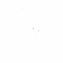 Cc1ccc(S(=O)(=O)N2CCC(F)(F)/C(=C\C(=O)O)c3ccccc32)cc1